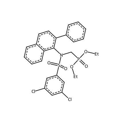 CCOP(=O)(CN(c1c(-c2ccccc2)ccc2ccccc12)S(=O)(=O)c1cc(Cl)cc(Cl)c1)OCC